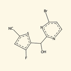 N#Cc1cc(F)c(C(O)c2nccc(Br)n2)s1